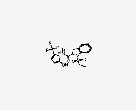 CCS(=O)(=O)N1c2ccccc2CC1C(=O)N[SH]1C(O)=CC=C1C(F)(F)F